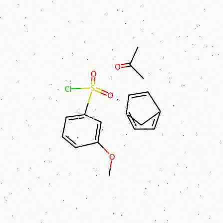 C1=CC2=CC=C1C2.CC(C)=O.COc1cccc(S(=O)(=O)Cl)c1